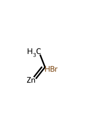 Br.C[CH]=[Zn]